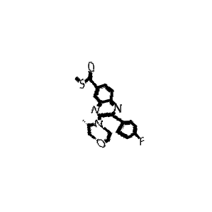 CSC(=O)c1ccc2nc(-c3ccc(F)cc3)c(N3CCOC[C@@H]3C)nc2c1